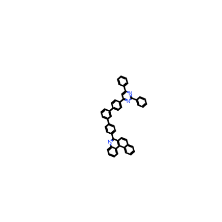 c1ccc(-c2cc(-c3ccc(-c4cccc(-c5ccc(-c6nc7ccccc7c7c6ccc6ccccc67)cc5)c4)cc3)nc(-c3ccccc3)n2)cc1